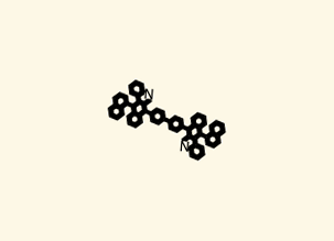 c1ccc2c(-c3c4ccccc4c(-c4ccc(-c5ccc(-c6c7ccccc7c(-c7cccc8ccccc78)c7c6cnc6ccccc67)cc5)cc4)c4cnc5ccccc5c34)cccc2c1